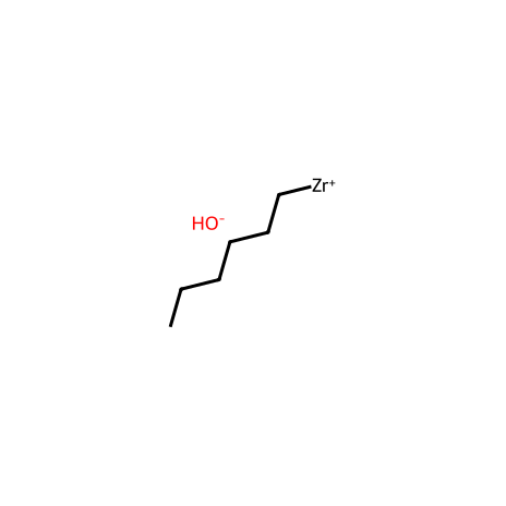 CCCCC[CH2][Zr+].[OH-]